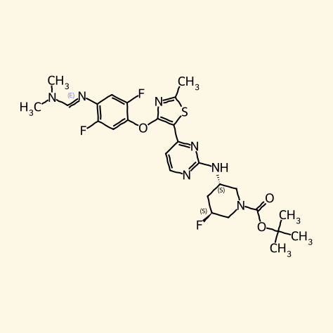 Cc1nc(Oc2cc(F)c(/N=C/N(C)C)cc2F)c(-c2ccnc(N[C@H]3C[C@H](F)CN(C(=O)OC(C)(C)C)C3)n2)s1